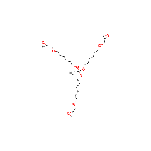 CC(OCCCCCCOCC1CO1)(OCCCCCCOCC1CO1)OCCCCCCOCC1CO1